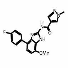 COc1ccc(-c2ccc(F)cc2)c2nc(NC(=O)c3cnn(C)c3)[nH]c12